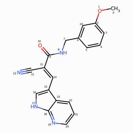 COc1cccc(CNC(=O)/C(C#N)=C/c2c[nH]c3ncccc23)c1